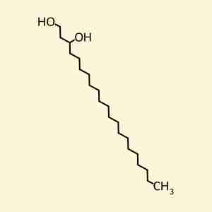 CCCCCCCCCCCCCCCCCCC(O)CCO